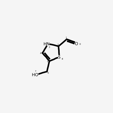 O=CC1NC=C(CO)S1